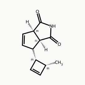 C[C@@H]1C=C[C@@H]1C1C=C[C@H]2C(=O)NC(=O)[C@@H]12